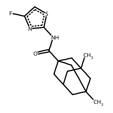 CC12CC3CC(C)(C1)CC(C(=O)Nc1nc(F)cs1)(C3)C2